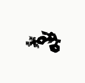 CC(C)(N)c1ccc(-c2nc(Nc3ccccc3)ncc2C#N)cc1